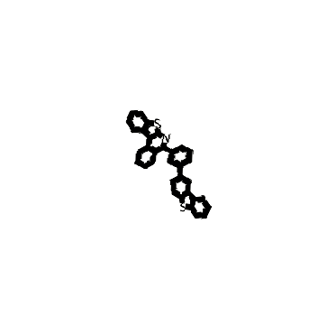 c1cc(-c2ccc3sc4ccccc4c3c2)cc(-c2nc3sc4ccccc4c3c3ccccc23)c1